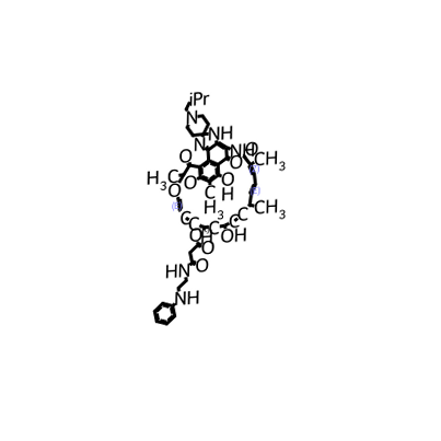 C/C1=C/C=C/C(C)CCC(O)C[C@H](OC(=O)CC(=O)NCCNc2ccccc2)CC/C=C/OC2(C)Oc3c(C)c(O)c4c(c3C2=O)C2=NC3(CCN(CC(C)C)CC3)NC2=C(NC1=O)C4=O